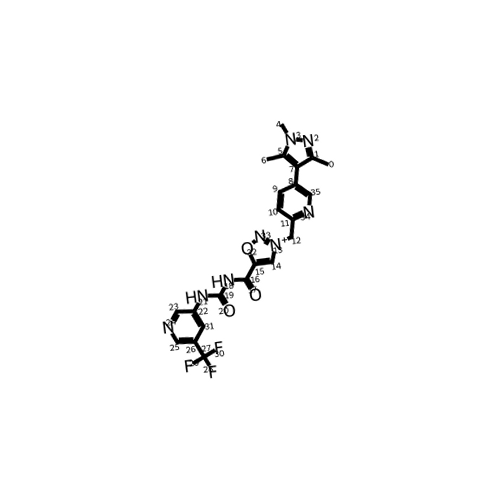 Cc1nn(C)c(C)c1-c1ccc(C[n+]2cc(C(=O)NC(=O)Nc3cncc(C(F)(F)F)c3)on2)nc1